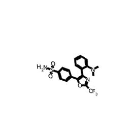 CN(C)c1ccccc1-c1nc(C(F)(F)F)oc1-c1ccc(S(N)(=O)=O)cc1